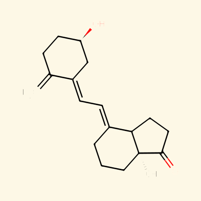 C=C1CC[C@@H](O)C/C1=C\C=C1/CCC[C@]2(C)C(=O)CCC12